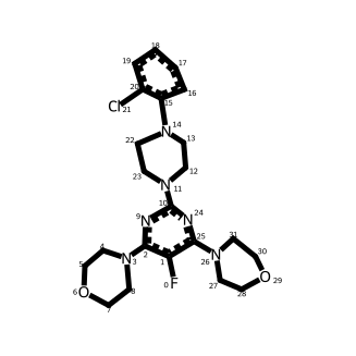 Fc1c(N2CCOCC2)nc(N2CCN(c3ccccc3Cl)CC2)nc1N1CCOCC1